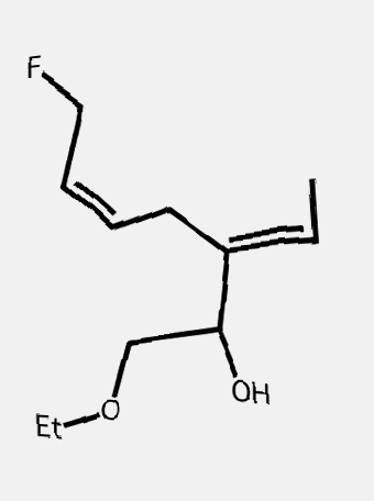 C/C=C(\C/C=C\CF)C(O)COCC